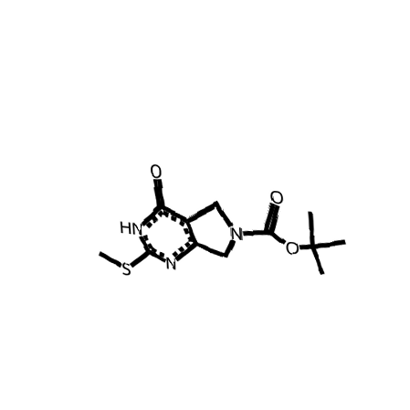 CSc1nc2c(c(=O)[nH]1)CN(C(=O)OC(C)(C)C)C2